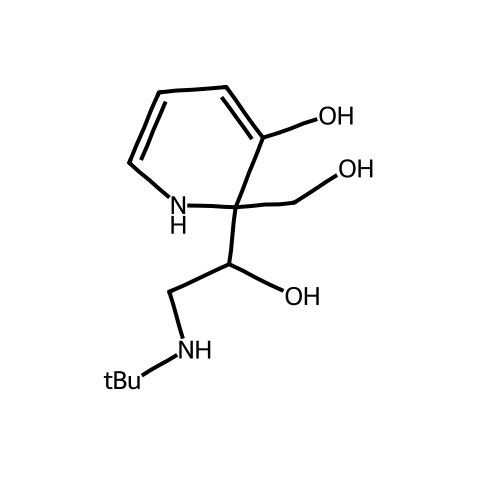 CC(C)(C)NCC(O)C1(CO)NC=CC=C1O